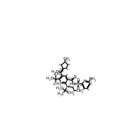 CCCN(c1nc(C(C)(C)C)c(/C(C)=C2\CCC(C)C2)cc1C(=O)NS(=O)(=O)c1cccc(N)n1)C(C)(C)C